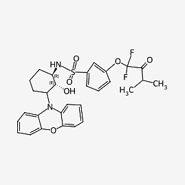 CC(C)C(=O)C(F)(F)Oc1cccc(S(=O)(=O)N[C@@H]2CCCC(N3c4ccccc4Oc4ccccc43)[C@H]2O)c1